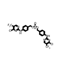 O=[PH](OCc1ccc(Nc2ncc(C(F)(F)F)c(Cl)n2)cc1)OCc1ccc(Nc2ncc(C(F)(F)F)c(Cl)n2)cc1